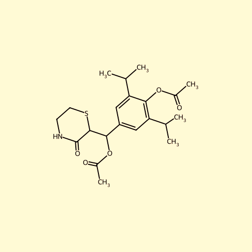 CC(=O)Oc1c(C(C)C)cc(C(OC(C)=O)C2SCCNC2=O)cc1C(C)C